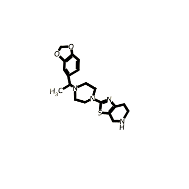 CC(c1ccc2c(c1)OCO2)N1CCN(c2nc3c(s2)CNCC3)CC1